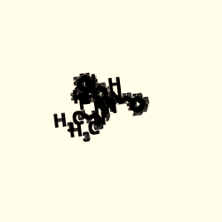 CCCCN(CC)Cc1nc(NCCc2ccccc2)c2ccc(-c3ncccc3C(F)(F)F)cc2n1